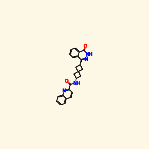 O=C(N[C@H]1CC2(C1)C[C@H](c1n[nH]c(=O)c3ccccc31)C2)c1ccc2ccccc2n1